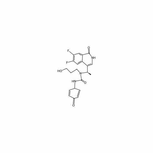 C[C@H](c1c[nH]c(=O)c2cc(F)c(F)cc12)N(CCCO)C(=O)NC1C=CC(=O)C=C1